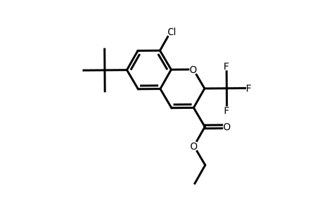 CCOC(=O)C1=Cc2cc(C(C)(C)C)cc(Cl)c2OC1C(F)(F)F